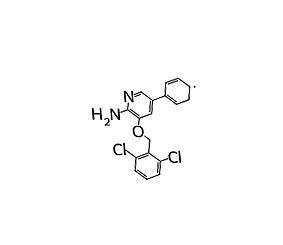 Nc1ncc(C2=CC[CH]C=C2)cc1OCc1c(Cl)cccc1Cl